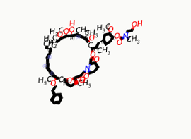 C=C[C@@H]1/C=C/C=C/C=C(\C)C(OCCc2ccccc2)C[C@@H]2CC[C@@H](C)[C@@](O)(O2)C(=O)C(=O)N2CCCCC2C(=O)O[C@H]([C@H](C)C[C@@H]2CC[C@@H](OC(=O)N(C)CCO)[C@H](OC)C2)CC(=O)[C@H](C)/C=C(\C)[C@@H](O)[C@@H](OC)C(=O)[C@H](C)C1